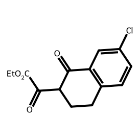 CCOC(=O)C(=O)C1CCc2ccc(Cl)cc2C1=O